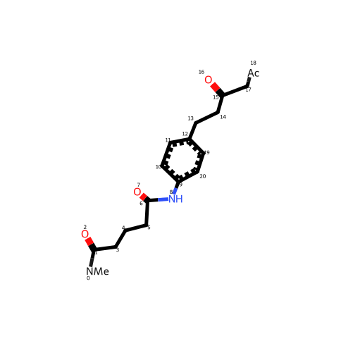 CNC(=O)CCCC(=O)Nc1ccc(CCC(=O)CC(C)=O)cc1